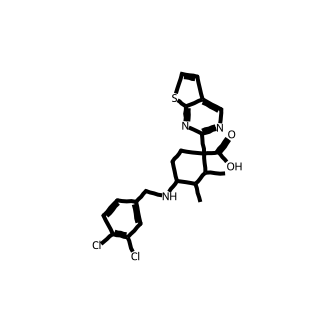 CC1C(NCc2ccc(Cl)c(Cl)c2)CCC(C(=O)O)(c2ncc3ccsc3n2)C1C